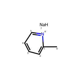 Cc1ccccn1.[NaH]